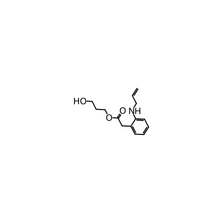 C=CCNc1ccccc1CC(=O)OCCCO